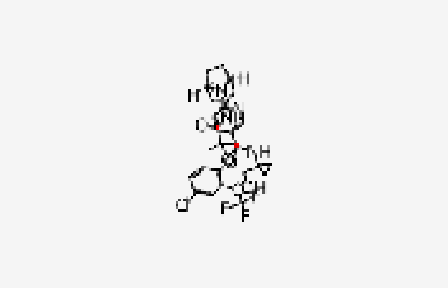 CC(C)(Oc1ccc(Cl)cc1OC(F)(F)F)C(=O)N[C@H]1C[C@H]2CC[C@@H](C1)N2c1ccc(C(=O)NC2(CO)CC2)cn1